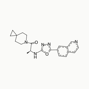 C[C@H](Nc1nnc(-c2ccc3ccncc3c2)o1)C(=O)N1CCC2(CC1)CC2